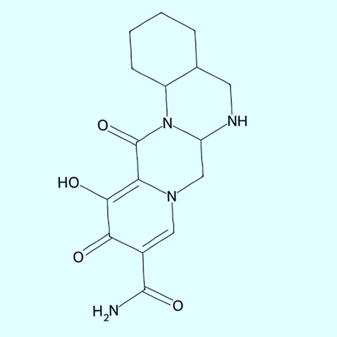 NC(=O)c1cn2c(c(O)c1=O)C(=O)N1C(C2)NCC2CCCCC21